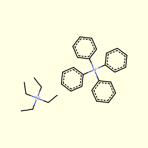 CC[N+](CC)(CC)CC.c1ccc([N+](c2ccccc2)(c2ccccc2)c2ccccc2)cc1